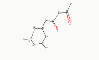 CC(=O)CC(=O)CC1CC(C)CC(C)C1